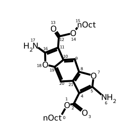 CCCCCCCCOC(=O)c1c(N)oc2cc3c(C(=O)OCCCCCCCC)c(N)oc3cc12